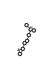 CC1(C)c2ccccc2-c2ccc(-c3ccc4cc(-c5ccc(-c6cc(-c7ccccc7)nc7ccccc67)cc5)ccc4c3)cc21